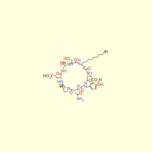 CC(C)CCCCCCCCC1CC(=O)N[C@@H](CC(=O)O)C(=O)N[C@H](Cc2ccc(O)cc2)C(=O)N[C@H](CC(N)=O)C(=O)N2CCC[C@H]2C(=O)N[C@@H](CCC(=O)O)C(=O)N[C@H](CO)C(=O)N[C@@H]([C@@H](C)O)C(=O)N1